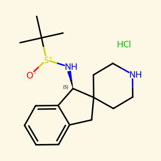 CC(C)(C)[S+]([O-])N[C@@H]1c2ccccc2CC12CCNCC2.Cl